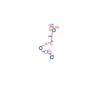 CN(CCNCCc1ccc(O)c2c1OCC(=O)N2)C(=O)CCOCCc1cccc(CN2CCC3(CC2)CN(c2cc(F)ccn2)CCO3)c1